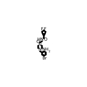 Nc1ccc(Br)cc1CN1CCN(C(=O)CNC(=O)C2C3CC(F)(F)CC32)CC1